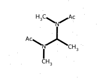 CC(=O)N(C)C(C)N(C)C(C)=O